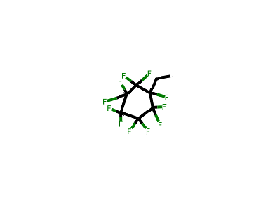 [CH2]CC1(F)C(F)(F)C(F)(F)C(F)(F)C(F)(F)C1(F)F